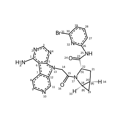 Nc1ncnc2c1c1ccncc1n2CC(=O)N1[C@@H]2C[C@@H]2C[C@H]1C(=O)Nc1cccc(Br)n1